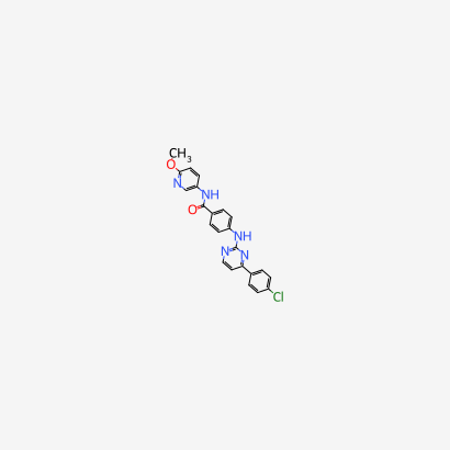 COc1ccc(NC(=O)c2ccc(Nc3nccc(-c4ccc(Cl)cc4)n3)cc2)cn1